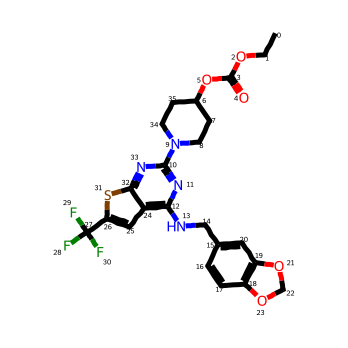 CCOC(=O)OC1CCN(c2nc(NCc3ccc4c(c3)OCO4)c3cc(C(F)(F)F)sc3n2)CC1